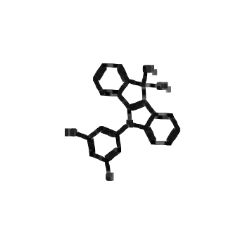 CC1(C)c2ccccc2-c2c1c1ccccc1n2-c1cc(O)cc(Cl)c1